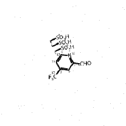 CS(=O)(=O)O.CS(=O)(=O)O.CS(=O)(=O)O.O=Cc1cc(C(F)(F)F)ccn1